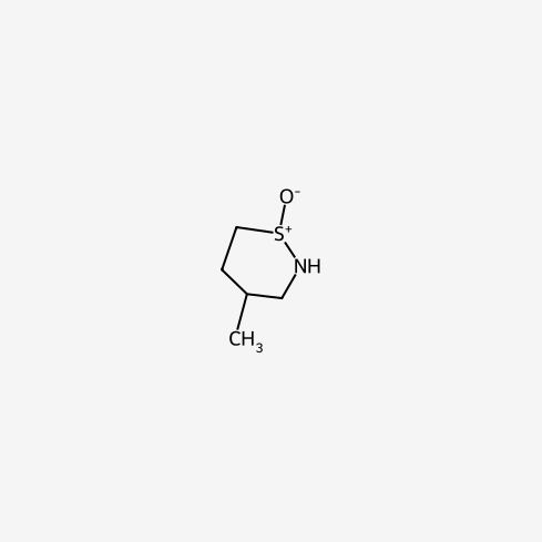 CC1CC[S+]([O-])NC1